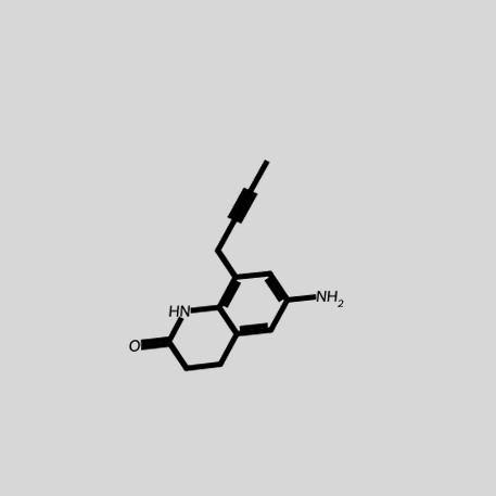 CC#CCc1cc(N)cc2c1NC(=O)CC2